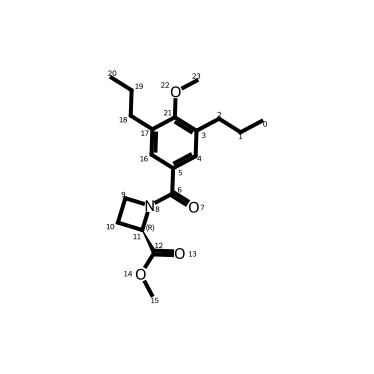 CCCc1cc(C(=O)N2CC[C@@H]2C(=O)OC)cc(CCC)c1OC